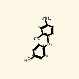 Nc1ccc(Oc2ccc(O)cc2)c(Cl)c1